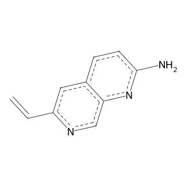 C=Cc1cc2ccc(N)nc2cn1